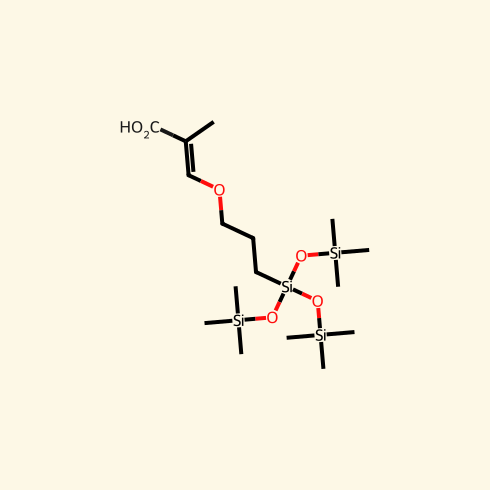 CC(=COCCC[Si](O[Si](C)(C)C)(O[Si](C)(C)C)O[Si](C)(C)C)C(=O)O